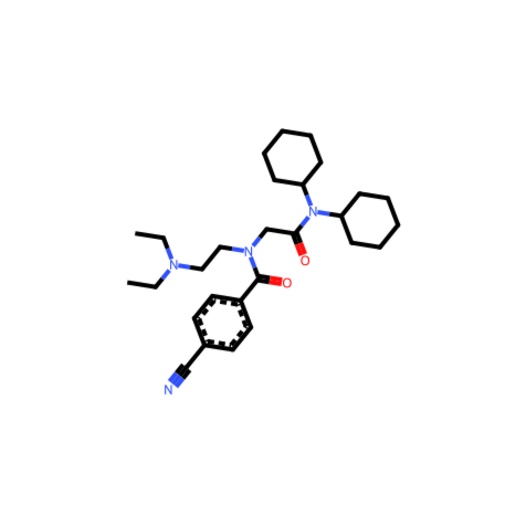 CCN(CC)CCN(CC(=O)N(C1CCCCC1)C1CCCCC1)C(=O)c1ccc(C#N)cc1